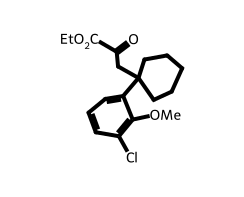 CCOC(=O)C(=O)CC1(c2cccc(Cl)c2OC)CCCCC1